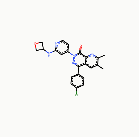 Cc1cc2c(-c3ccc(Cl)cc3)nn(-c3ccnc(NC4COC4)c3)c(=O)c2nc1C